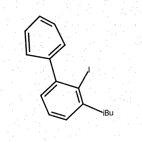 CCC(C)c1cccc(-c2ccccc2)c1I